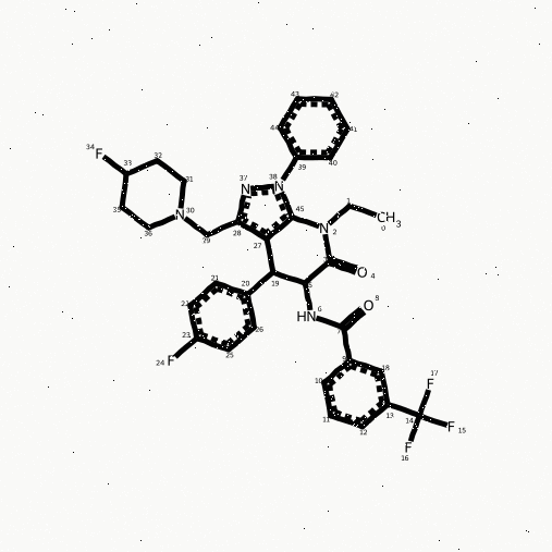 CCN1C(=O)C(NC(=O)c2cccc(C(F)(F)F)c2)C(c2ccc(F)cc2)c2c(CN3CCC(F)CC3)nn(-c3ccccc3)c21